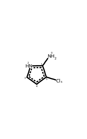 Nc1[nH]ccc1Cl